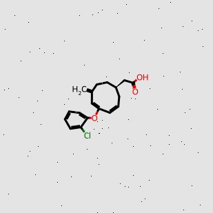 C=C1/C=C(Oc2ccccc2Cl)\C=C/C[C@H](CC(=O)O)CC1